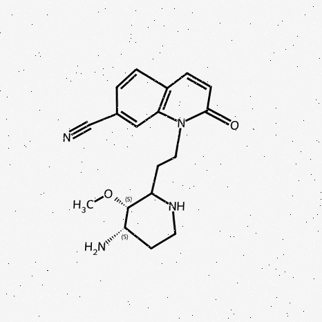 CO[C@@H]1C(CCn2c(=O)ccc3ccc(C#N)cc32)NCC[C@@H]1N